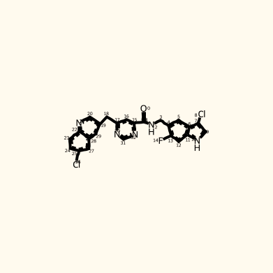 O=C(NCc1cc2c(Cl)c[nH]c2cc1F)c1cc(Cc2cnc3ccc(Cl)cc3c2)ncn1